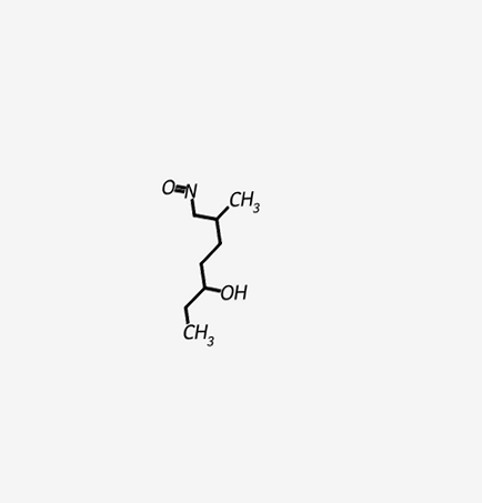 CCC(O)CCC(C)CN=O